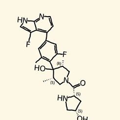 Cc1cc(-c2ccnc3[nH]cc(F)c23)cc(F)c1C1(O)[C@H](C)CN(C(=O)[C@@H]2C[C@H](O)CN2)C[C@@H]1C